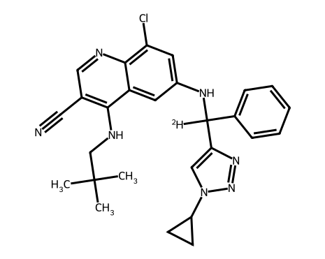 [2H]C(Nc1cc(Cl)c2ncc(C#N)c(NCC(C)(C)C)c2c1)(c1ccccc1)c1cn(C2CC2)nn1